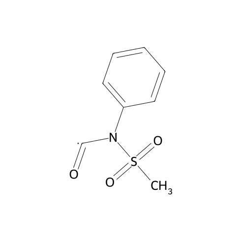 CS(=O)(=O)N([C]=O)c1ccccc1